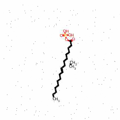 C=C.CCCCCCCCC=CCCCCCCCC(=O)OP(=O)(O)O